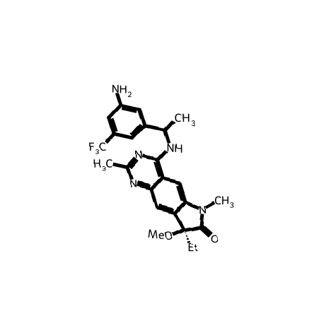 CC[C@@]1(OC)C(=O)N(C)c2cc3c(NC(C)c4cc(N)cc(C(F)(F)F)c4)nc(C)nc3cc21